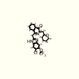 O=c1c2ccccc2c(Cc2nc3cc(OC(F)(F)F)c(Cl)cc3[nH]2)nn1CC1CCCCO1